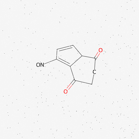 O=NC1=C2C(=O)CCC(=O)C2C=C1